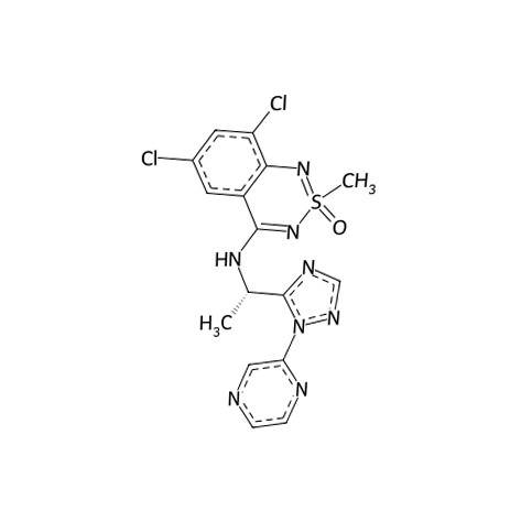 C[C@H](NC1=NS(C)(=O)=Nc2c(Cl)cc(Cl)cc21)c1ncnn1-c1cnccn1